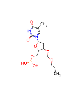 C=CCOCO[C@@H]1CC(n2cc(C)c(=O)[nH]c2=O)OC1COP(O)O